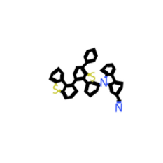 N#Cc1ccc2c3ccccc3n(-c3cccc4c3sc3c(-c5ccccc5)ccc(-c5cccc6sc7ccccc7c56)c34)c2c1